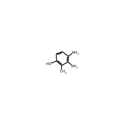 Cc1c(O)ccc(N)c1N